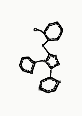 Clc1ccccc1Sc1nnc(-c2cnccn2)n1-c1ccccc1